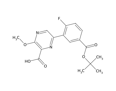 COc1ncc(-c2cc(C(=O)OC(C)(C)C)ccc2F)nc1C(=O)O